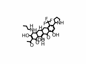 CCCN[C@@H]1C(O)=C(C(C)=O)C(=O)[C@@]2(O)C(O)=C3C(=O)c4c(O)cc(C5CCCN5)c(C(F)(F)F)c4C[C@H]3C[C@@H]12